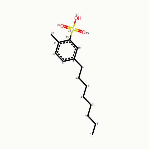 CCCCCCCCc1ccc(C)c(S(=O)(=O)O)c1